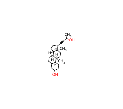 CC(O)C#CC1CC[C@H]2[C@@H]3CCC4CC(O)CC[C@]4(C)[C@@H]3CC[C@]12C